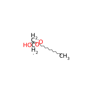 [CH2]C([CH2])(CO)COC(=O)CCCCCCCCCCC